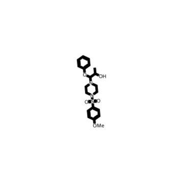 COc1ccc(S(=O)(=O)N2CCN(C(Oc3ccccc3)C(C)O)CC2)cc1